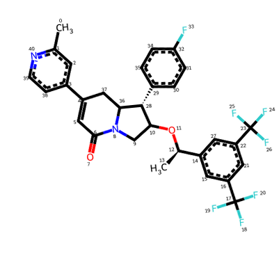 Cc1cc(C2=CC(=O)N3CC(O[C@H](C)c4cc(C(F)(F)F)cc(C(F)(F)F)c4)[C@@H](c4ccc(F)cc4)C3C2)ccn1